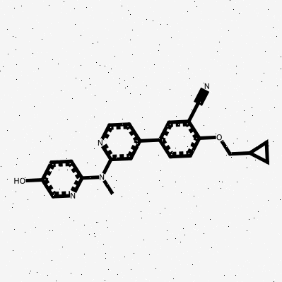 CN(c1ccc(O)cn1)c1cc(-c2ccc(OCC3CC3)c(C#N)c2)ccn1